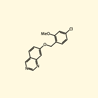 COc1cc(Cl)ccc1COc1ccc2cncnc2c1